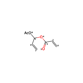 C=CC(=O)OC(C=C)OC(C)=O